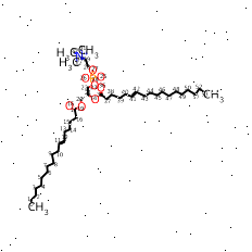 CCCCCCCCCCC/C=C/CCCCC(=O)OC[C@H](COP(=O)([O-])OCC[N+](C)(C)C)OC(=O)CCCC/C=C/CCCCCCCCCCC